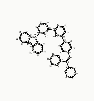 C(=C(c1ccccc1)c1ccccc1)c1ccc(-c2cccc(-c3cccc(-n4c5ccccc5c5ncccc54)n3)n2)cc1